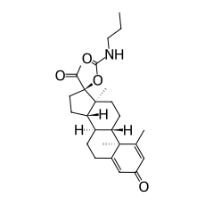 CCCNC(=O)O[C@]1(C(C)=O)CC[C@H]2[C@@H]3CCC4=CC(=O)C=C(C)[C@]4(C)[C@H]3CC[C@@]21C